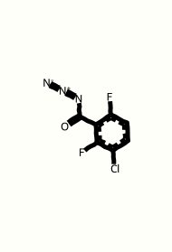 [N-]=[N+]=NC(=O)c1c(F)ccc(Cl)c1F